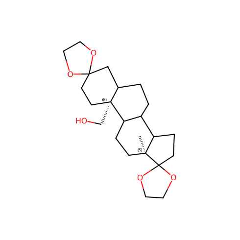 C[C@]12CCC3C(CCC4CC5(CC[C@@]43CO)OCCO5)C1CCC21OCCO1